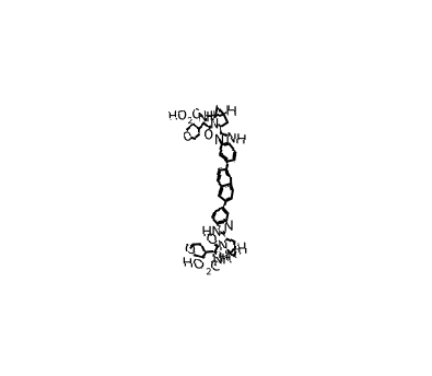 O=C(O)N[C@H](C(=O)N1[C@@H]2C[C@@H]2C[C@H]1c1nc2cc(-c3ccc4cc(-c5ccc6[nH]c([C@@H]7C[C@H]8C[C@H]8N7C(=O)[C@@H](NC(=O)O)C7CCOCC7)nc6c5)ccc4c3)ccc2[nH]1)C1CCOCC1